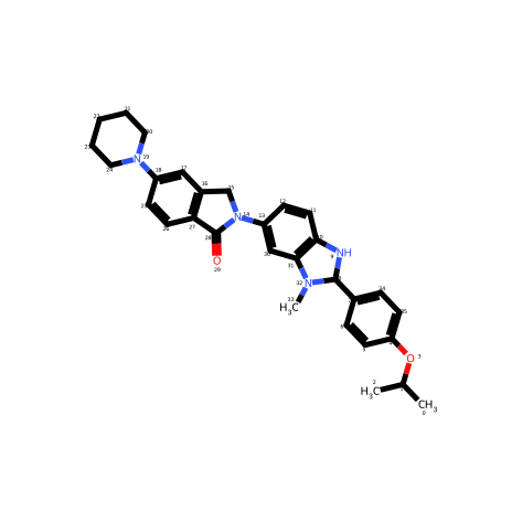 CC(C)Oc1ccc(C2Nc3ccc(N4Cc5cc(N6CCCCC6)ccc5C4=O)cc3N2C)cc1